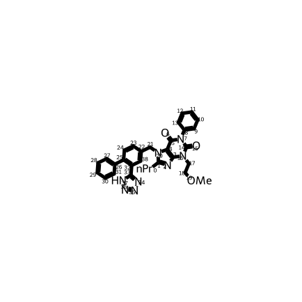 CCCc1nc2c(c(=O)n(-c3ccccc3)c(=O)n2CCOC)n1Cc1ccc(-c2ccccc2)c(-c2nnn[nH]2)c1